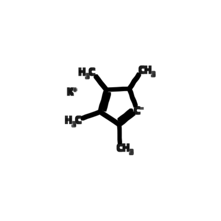 CC1=[C-]C(C)C(C)=C1C.[K+]